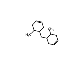 CC1CC=CCC1[CH]C1CC=CCC1C